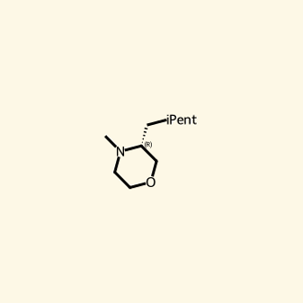 CCCC(C)C[C@@H]1COCCN1C